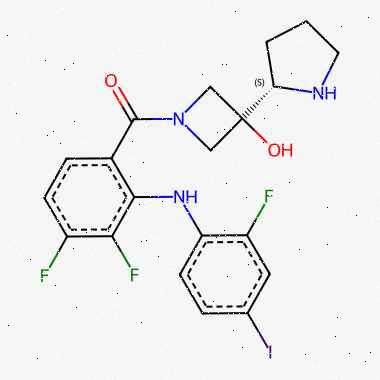 O=C(c1ccc(F)c(F)c1Nc1ccc(I)cc1F)N1CC(O)([C@@H]2CCCN2)C1